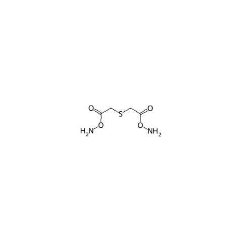 NOC(=O)CSCC(=O)ON